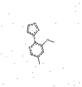 COc1cc(C)cnc1-n1ccnn1